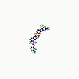 O=C(Cc1cccc(C(F)(F)F)c1F)Nc1c(Cl)ccc2c1CCN(S(=O)(=O)c1ccc(Oc3ncc(C(F)(F)F)cc3Cl)cc1)C2